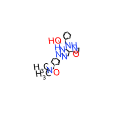 CN(C)C(=O)c1ccc(Nc2ncc(-c3ncco3)c(N[C@H](CO)c3ccccc3)n2)cc1